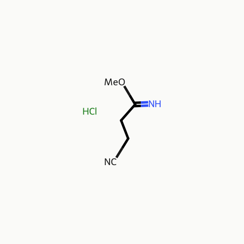 COC(=N)CCC#N.Cl